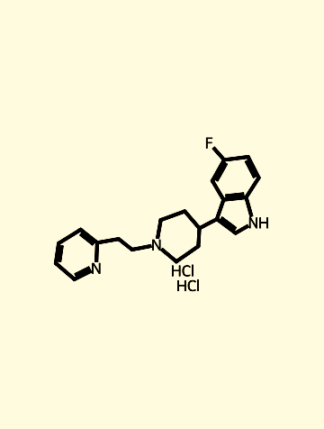 Cl.Cl.Fc1ccc2[nH]cc(C3CCN(CCc4ccccn4)CC3)c2c1